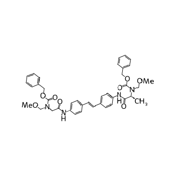 COCN(CC(=O)Nc1ccc(/C=C/c2ccc(NC(=O)[C@H](C)N(COC)C(=O)OCc3ccccc3)cc2)cc1)C(=O)OCc1ccccc1